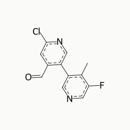 Cc1c(F)cncc1-c1cnc(Cl)cc1C=O